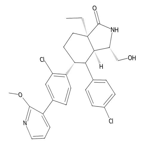 CC[C@@]12CC[C@@H](c3ccc(-c4cccnc4OC)cc3Cl)C(c3ccc(Cl)cc3)[C@@H]1[C@@H](CO)NC2=O